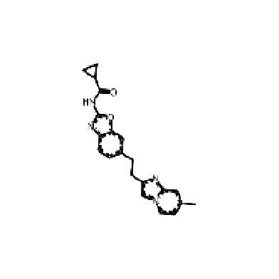 Cc1ccn2cc(CCc3ccc4nc(NC(=O)C5CC5)oc4c3)nc2c1